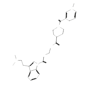 CN1C=CCC(C(=O)N2CCC(C(=O)OCOC(=O)n3cc(CCN(C)C)c4ccccc43)CC2)=C1